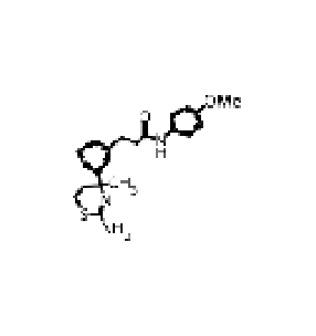 COc1ccc(NC(=O)CCc2cccc(C3(C)CCSC(N)=N3)c2)cc1